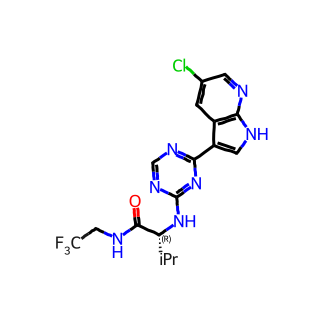 CC(C)[C@@H](Nc1ncnc(-c2c[nH]c3ncc(Cl)cc23)n1)C(=O)NCC(F)(F)F